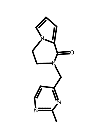 Cc1nccc(CN2CCn3cccc3C2=O)n1